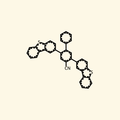 N#Cc1cc(-c2ccc3sc4ccccc4c3c2)c(-c2ccccc2)cc1-c1ccc2sc3ccccc3c2c1